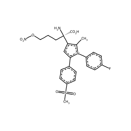 Cc1c([C@](N)(CCCO[N+](=O)[O-])C(=O)O)cc(-c2ccc(S(C)(=O)=O)cc2)n1-c1ccc(F)cc1